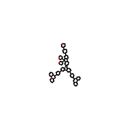 c1ccc(-c2ccc(-c3ccc4c(c3)C(c3ccccc3)(c3ccccc3)c3cc(-n5c6ccc(-c7ccc(-c8cc9ccccc9c9ccccc89)cc7)cc6c6cc(-c7ccc(-c8cc9ccccc9c9ccccc89)cc7)ccc65)ccc3-4)cc2)cc1